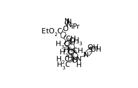 C=C(C)[C@@H]1CC[C@]2(NCCN3CCS(O)(O)CC3)CC[C@]3(C)[C@H](CC[C@@H]4[C@@]5(C)CC=C(C6=CCC(COc7cnnn7C(C)C)(C(=O)OCC)CC6)C(C)(C)[C@@H]5CC[C@]43C)[C@@H]12